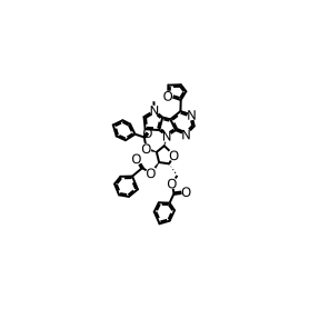 Cn1ccc2c1c1c(-c3ccco3)ncnc1n2[C@@H]1O[C@H](COC(=O)c2ccccc2)[C@@H](OC(=O)c2ccccc2)[C@H]1OC(=O)c1ccccc1